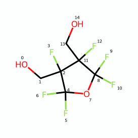 OCC1(F)C(F)(F)OC(F)(F)C1(F)CO